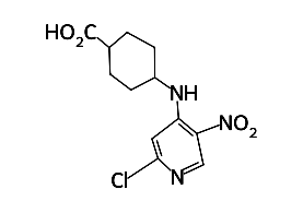 O=C(O)C1CCC(Nc2cc(Cl)ncc2[N+](=O)[O-])CC1